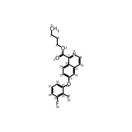 CCCCOC(=O)c1nccc2cc(Oc3cccc(F)c3F)ccc12